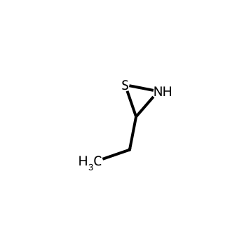 CCC1NS1